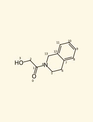 O=C(CO)N1CCc2ccccc2C1